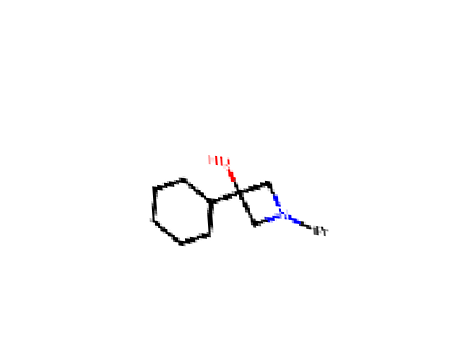 CC(C)N1CC(O)(C2CCCCC2)C1